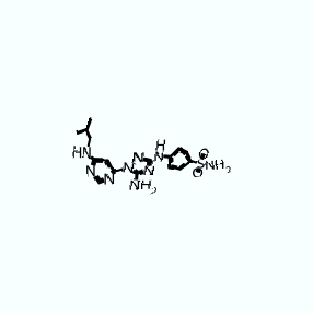 CC(C)CNc1cc(-n2nc(Nc3ccc(S(N)(=O)=O)cc3)nc2N)ncn1